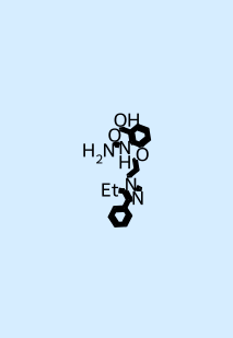 CCc1c(-c2ccccc2)ncn1CCCOc1cccc(CO)c1NC(N)=O